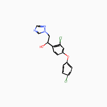 OC(Cn1cncn1)c1ccc(Oc2ccc(Cl)cc2)cc1Cl